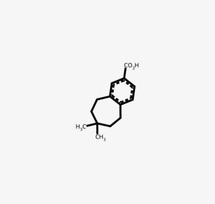 CC1(C)CCc2ccc(C(=O)O)cc2CC1